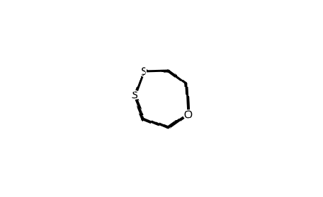 C1CSSCCO1